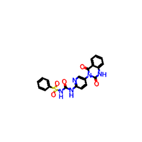 O=C(Nc1ccc(-n2c(=O)[nH]c3ccccc3c2=O)cn1)NS(=O)(=O)c1ccccc1